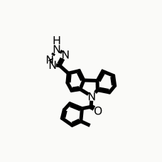 Cc1ccccc1C(=O)n1c2ccccc2c2cc(-c3nn[nH]n3)ccc21